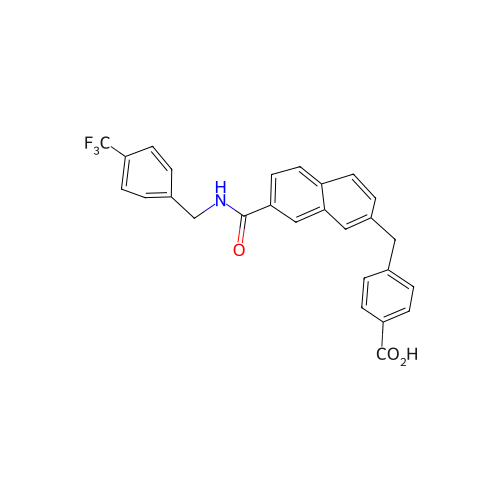 O=C(O)c1ccc(Cc2ccc3ccc(C(=O)NCc4ccc(C(F)(F)F)cc4)cc3c2)cc1